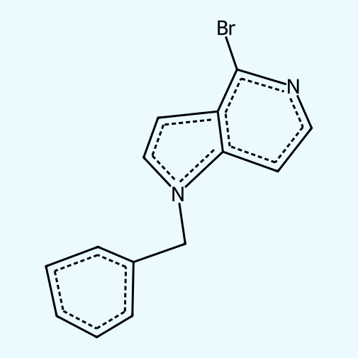 Brc1nccc2c1ccn2Cc1ccccc1